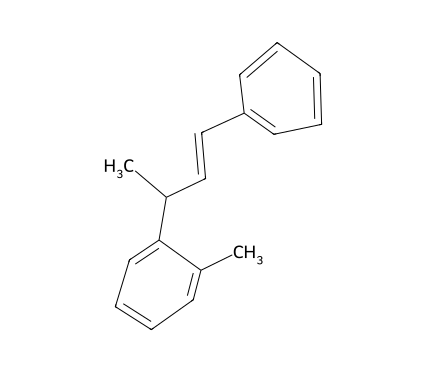 Cc1ccccc1C(C)C=Cc1ccccc1